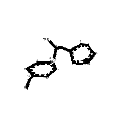 CCC(c1ccccc1)[n+]1ccc(C)cc1